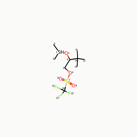 C[SiH](C)OC(COS(=O)(=O)C(F)(F)F)C(C)(C)C